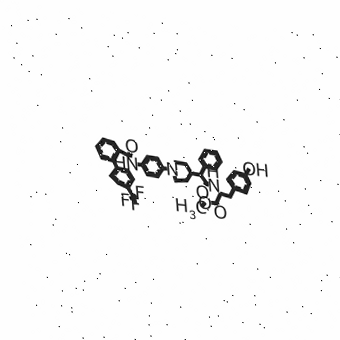 COC(=O)C(Cc1ccc(O)cc1)NC(=O)C(c1ccccc1)C1CCN(c2ccc(NC(=O)c3ccccc3-c3ccc(C(F)(F)F)cc3)cc2)CC1